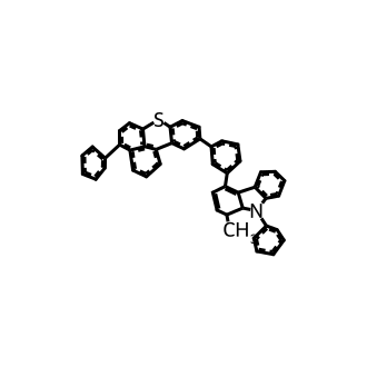 CC1C=CC(c2cccc(-c3ccc4c(c3)-c3cccc5c(-c6ccccc6)ccc(c35)S4)c2)=C2c3ccccc3N(c3ccccc3)C21